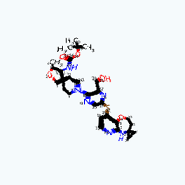 C[C@@H]1OCC2(CCN(c3ncc(Sc4ccnc5c4OCCC4(CC4)N5)nc3CO)CC2)[C@@H]1NC(=O)OC(C)(C)C